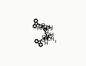 C[C@@](CCCCC[C@](C)(NC(=O)OCC1c2ccccc2-c2ccccc21)C(=O)O)(NC(=O)OCC1c2ccccc2-c2ccccc21)C(=O)O